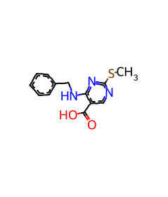 CSc1ncc(C(=O)O)c(NCc2ccccc2)n1